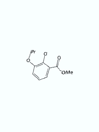 COC(=O)c1cccc(OC(C)C)c1Cl